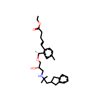 CCOC(=O)CC/C=C/c1ccc(C)cc1[C@@H](C)OC[C@H](O)CNC(C)(C)CC1Cc2ccccc2C1